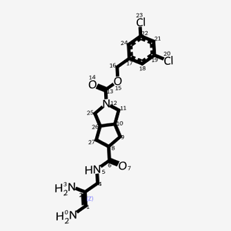 N/C=C(\N)CNC(=O)C1CC2CN(C(=O)OCc3cc(Cl)cc(Cl)c3)CC2C1